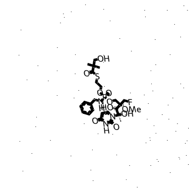 CO[C@](CF)(COP(=O)(NCc1ccccc1)OCCSC(=O)C(C)(C)CO)[C@@H](O)[C@@](C)(O)n1ccc(=O)[nH]c1=O